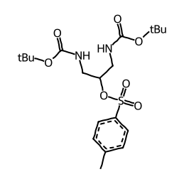 Cc1ccc(S(=O)(=O)OC(CNC(=O)OC(C)(C)C)CNC(=O)OC(C)(C)C)cc1